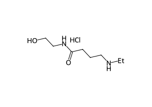 CCNCCCC(=O)NCCO.Cl